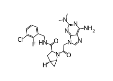 CN(C)c1nc(N)c2ncn(CC(=O)N3C4C[C@@H]4C[C@H]3C(=O)NCc3cccc(Cl)c3F)c2n1